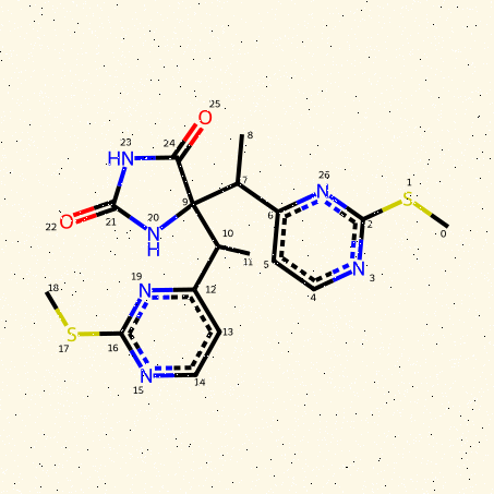 CSc1nccc(C(C)C2(C(C)c3ccnc(SC)n3)NC(=O)NC2=O)n1